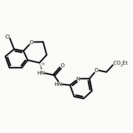 CCOC(=O)COc1cccc(NC(=O)N[C@H]2CCOc3c(Cl)cccc32)n1